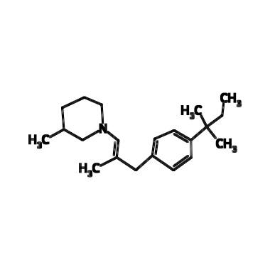 CCC(C)(C)c1ccc(CC(C)=CN2CCCC(C)C2)cc1